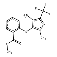 COC(=O)c1ccccc1Sc1c(N)c(C(F)(F)F)nn1C